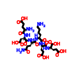 NCCCC[C@H](NC(=O)[C@H](CCC(N)=O)NC(=O)[C@H](CC(=O)O)NC(=O)[C@@H](N)CCC(=O)O)C(=O)N[C@@H](CCC(=O)O)C(=O)N[C@@H](CCC(=O)O)C(=O)O